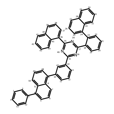 c1ccc(-c2cccc3c(-c4cccc(-c5nc(-c6ccccc6-c6cccc7ccccc67)nc(-c6cccc7ccccc67)n5)c4)cccc23)cc1